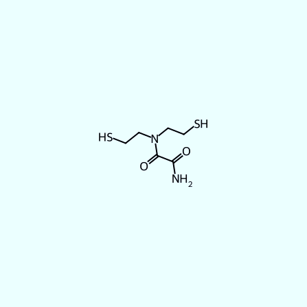 NC(=O)C(=O)N(CCS)CCS